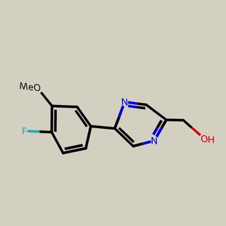 COc1cc(-c2cnc(CO)cn2)ccc1F